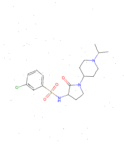 CC(C)N1CCC(N2CCC(NS(=O)(=O)c3cccc(Cl)c3)C2=O)CC1